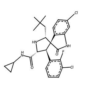 CC(C)(C)C[C@H]1N[C@@H](C(=O)NC2CC2)[C@H](c2cccc(Cl)c2F)[C@@]12C(=O)Nc1cc(Cl)ccc12